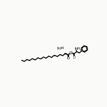 CCCCCCCCCCCCCCCCCC(=O)OC(=O)C(N)Cc1ccccc1.[NaH]